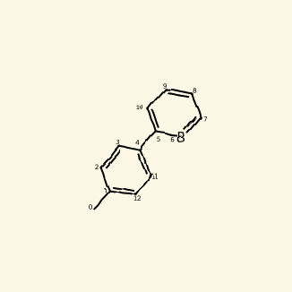 Cc1ccc(-c2bcccc2)cc1